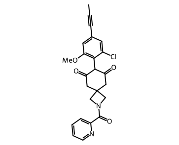 CC#Cc1cc(Cl)c(C2C(=O)CC3(CC2=O)CN(C(=O)c2ccccn2)C3)c(OC)c1